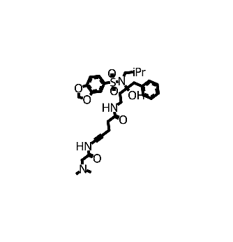 CC(C)CN(C(O)(CCNC(=O)CCC#CNC(=O)CN(C)C)Cc1ccccc1)S(=O)(=O)c1ccc2c(c1)OCO2